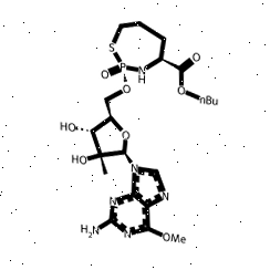 CCCCOC(=O)[C@@H]1CCCS[P@@](=O)(OC[C@H]2O[C@@H](n3cnc4c(OC)nc(N)nc43)[C@](C)(O)[C@@H]2O)N1